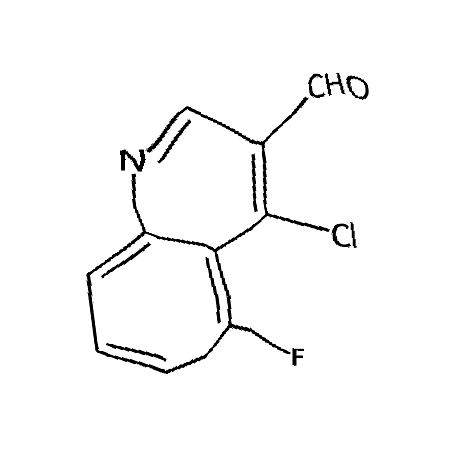 O=Cc1cnc2cccc(F)c2c1Cl